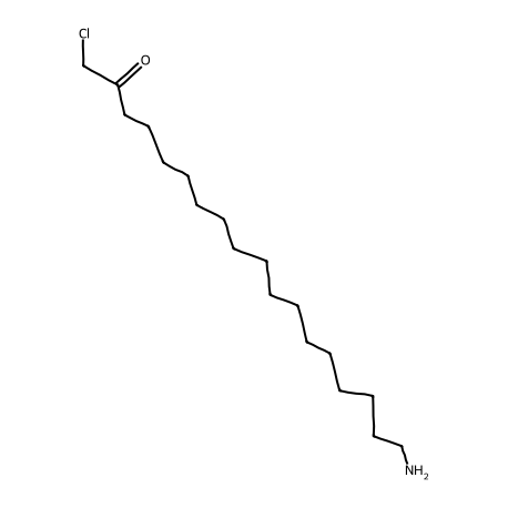 NCCCCCCCCCCCCCCCCC(=O)CCl